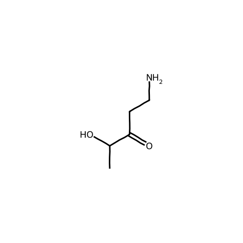 CC(O)C(=O)CCN